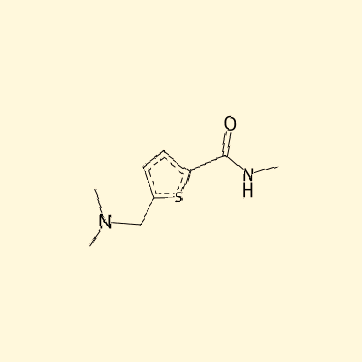 CNC(=O)c1ccc(CN(C)C)s1